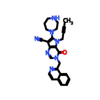 CC#CCn1c(N2CCCNCC2)c(C#N)c2ncn(Cc3nccc4ccccc34)c(=O)c21